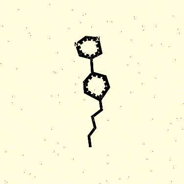 CCCCCc1ccc(-c2cncnc2)cc1